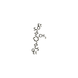 CCOC(=S)SSc1ccc(SSC(=S)OCC)c(C)c1